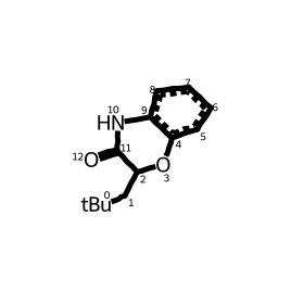 CC(C)(C)CC1Oc2ccccc2NC1=O